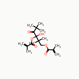 C=C(C)C(=O)OCC(C)(C)C(O)(OC(=O)C(=C)C)C(=O)C(C)(C)C